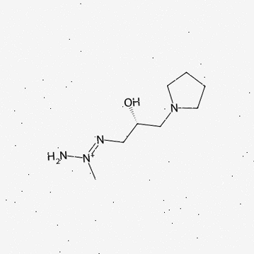 C/[N+](N)=N\C[C@H](O)CN1CCCC1